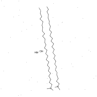 Br.CCCCCCCCCCCCCCCCCCCCCCCCCCCCN(C)C.CCCCCCCCCCCCCCCCCCCCCCCCCCCCN(C)C.Cl